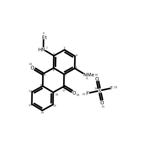 CCNc1ccc(NC)c2c1C(=O)c1ccccc1C2=O.O=S(=O)(F)F